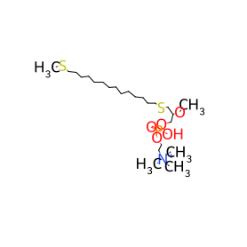 COC(COP(=O)(O)OCC[N+](C)(C)C)CSCCCCCCCCCCCCCCSC